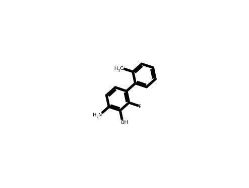 Cc1ccccc1-c1ccc(N)c(O)c1F